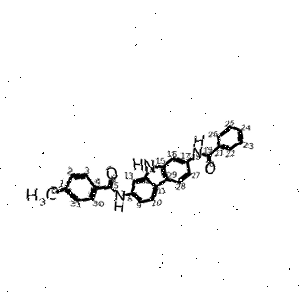 Cc1ccc(C(=O)Nc2ccc3c(c2)[nH]c2cc(NC(=O)c4ccccc4)ccc23)cc1